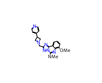 CNc1nc2c(OC)cccc2c2nc(CN3CC(c4ccncc4)C3)nn12